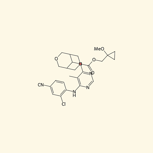 [C-]#[N+]c1ccc(Nc2ncnc(OC3C4COCC3CN(C(=O)OCC3(OC)CC3)C4)c2C)c(Cl)c1